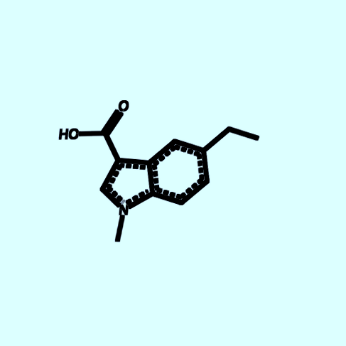 CCc1ccc2c(c1)c(C(=O)O)cn2C